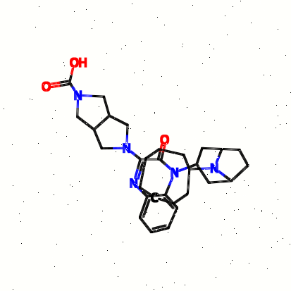 O=C(O)N1CC2CN(c3nc4ccccc4n(C4CC5CCC(C4)N5C4CCCCCCC4)c3=O)CC2C1